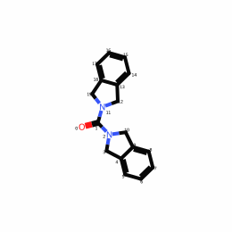 O=C(N1Cc2ccccc2C1)N1Cc2ccccc2C1